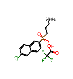 CNCCCS(=O)(=O)c1ccc2cc(Cl)ccc2c1.O=C(O)C(F)(F)F